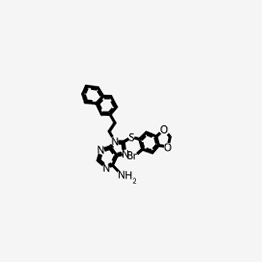 Nc1ncnc2c1nc(Sc1cc3c(cc1Br)OCO3)n2CCc1ccc2ccccc2c1